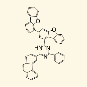 c1ccc(C2=NC(c3cc(-c4cccc5c4oc4ccccc45)cc4oc5ccccc5c34)NC(c3ccc4ccc5ccccc5c4c3)=N2)cc1